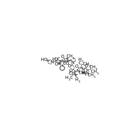 CC[C@H](C)[C@@H](C(CC(=O)N1CCC[C@H]1[C@H](OC)[C@@H](C)C(=O)N[C@H](C)[C@@H](OC(=O)N1CC[C@@H](O)C1)c1ccccc1)OC)N(C)C(=O)[C@@H](NC(=O)[C@@H](NC)C(C)C)C(C)C